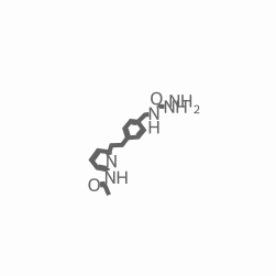 CC(=O)Nc1cccc(CCc2ccc(CNC(=O)NN)cc2)n1